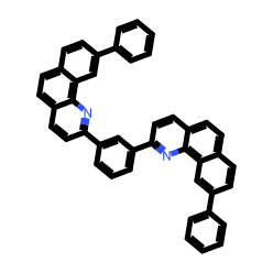 c1ccc(-c2ccc3ccc4ccc(-c5cccc(-c6ccc7ccc8ccc(-c9ccccc9)cc8c7n6)c5)nc4c3c2)cc1